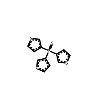 S=P(c1ccsc1)(c1ccsc1)c1ccsc1